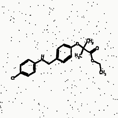 CCOC(=O)C(C)(C)Oc1ccc(CNc2ccc(Cl)cc2)cc1